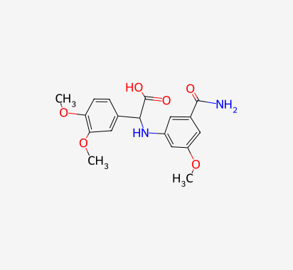 COc1cc(NC(C(=O)O)c2ccc(OC)c(OC)c2)cc(C(N)=O)c1